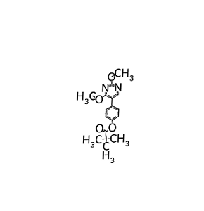 COc1ncc(-c2ccc(OC(=O)C(C)(C)C)cc2)c(OC)n1